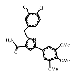 COc1cc(-c2cc(C(N)=O)n(Cc3ccc(Cl)c(Cl)c3)n2)cc(OC)c1OC